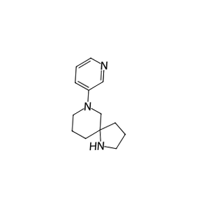 c1cncc(N2CCCC3(CCCN3)C2)c1